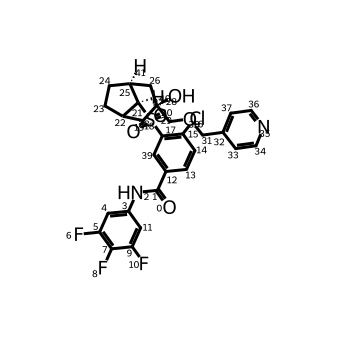 O=C(Nc1cc(F)c(F)c(F)c1)c1ccc(Cl)c(S(=O)(=O)[C@H]2C3CC[C@H]2C[C@](O)(COCc2ccncc2)C3)c1